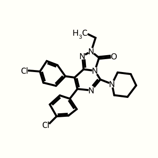 CCn1nc2c(-c3ccc(Cl)cc3)c(-c3ccc(Cl)cc3)nc(N3CCCCC3)n2c1=O